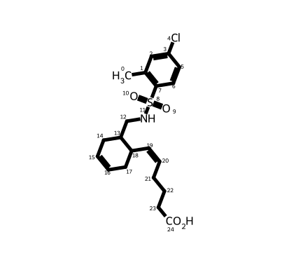 Cc1cc(Cl)ccc1S(=O)(=O)NCC1CC=CCC1/C=C\CCCC(=O)O